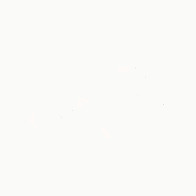 CC(=O)c1ccccc1-c1ccc2oc(N3CCOCC3)cc(=O)c2c1